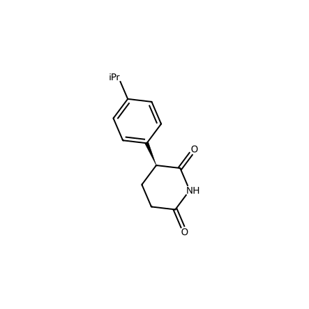 CC(C)c1ccc([C@@H]2CCC(=O)NC2=O)cc1